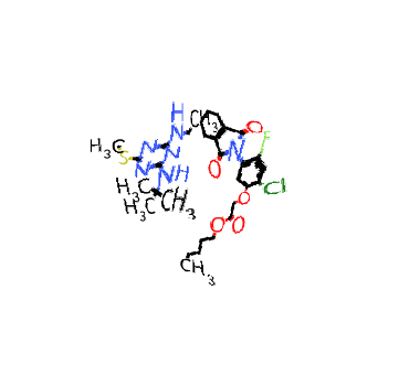 CCCCCOC(=O)COc1cc(N2C(=O)C3=C(CCCC3)C2=O)c(F)cc1Cl.CCNc1nc(NC(C)(C)C)nc(SC)n1